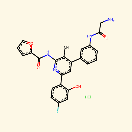 Cl.N#Cc1c(-c2cccc(NC(=O)CN)c2)cc(-c2ccc(F)cc2O)nc1NC(=O)c1ccco1